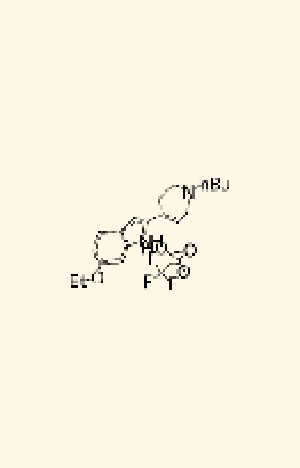 CCCCN1CC=C(c2cc3ccc(OCC)cc3[nH]2)CC1.O=S(=O)(O)C(F)(F)F